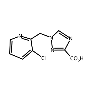 O=C(O)c1ncn(Cc2ncccc2Cl)n1